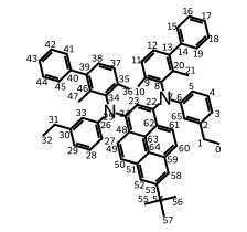 CCc1cccc(N(c2c(C)ccc(-c3ccccc3)c2C)c2cc(N(c3cccc(CC)c3)c3c(C)ccc(-c4ccccc4)c3C)c3ccc4cc(C(C)(C)C)cc5ccc2c3c54)c1